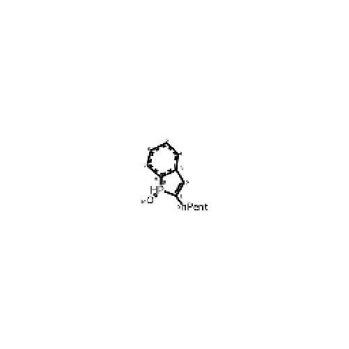 CCCCCC1=Cc2ccccc2[PH]1=O